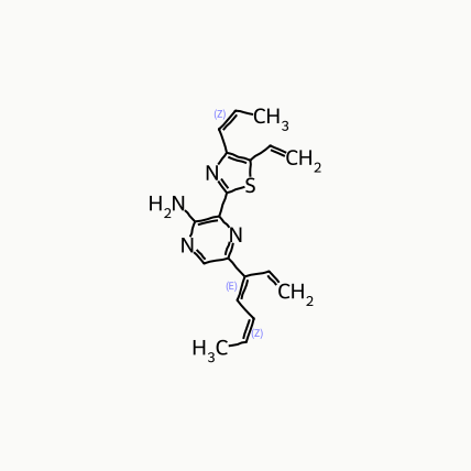 C=C/C(=C\C=C/C)c1cnc(N)c(-c2nc(/C=C\C)c(C=C)s2)n1